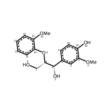 COc1cc([C@H](O)[C@H](CO)Oc2ccccc2OC)ccc1O